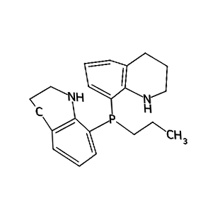 CCCP(c1cccc2c1NCCC2)c1cccc2c1NCCC2